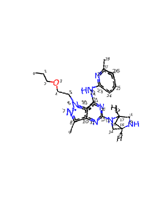 CCCOCCn1nc(C)c2nc(N3C[C@@H]4C[C@H]3CN4)nc(Nc3cccc(C)n3)c21